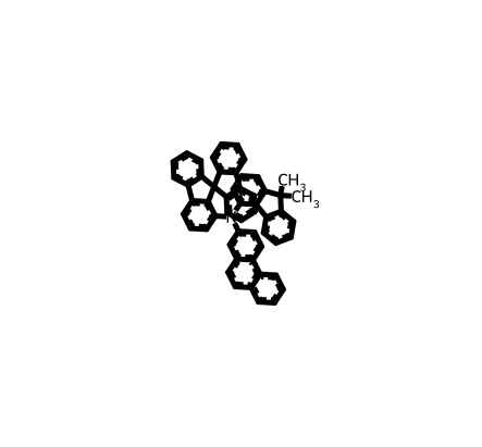 CC1(C)c2ccccc2-c2c(N(c3ccc4c(ccc5ccccc54)c3)c3cccc4c3C3(c5ccccc5-c5ccccc53)c3ccccc3-4)cccc21